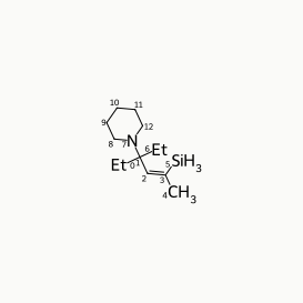 CCC(/C=C(/C)[SiH3])(CC)N1CCCCC1